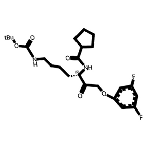 CC(C)(C)OC(=O)NCCCC[C@H](NC(=O)C1CCCC1)C(=O)COc1cc(F)cc(F)c1